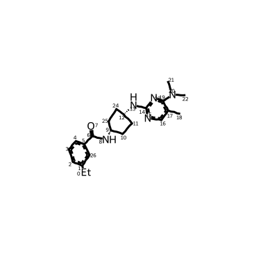 CCc1cccc(C(=O)N[C@H]2CC[C@@H](Nc3ncc(C)c(N(C)C)n3)CC2)c1